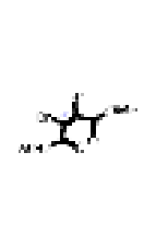 COC(=O)/C(Br)=C(/Br)C(=O)OC